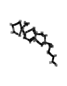 [2H]S1(c2ccc3cc(OCCCC)ccc3c2)CCCC1